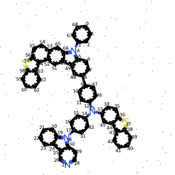 c1ccc(-n2c3ccc(-c4ccc(N(c5ccc(-n6c7ccccc7c7cnccc76)cc5)c5ccc6sc7ccccc7c6c5)cc4)cc3c3cc4c(ccc5sc6ccccc6c54)cc32)cc1